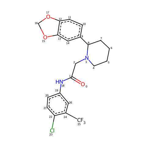 O=C(CN1CCCCC1c1ccc2c(c1)OCO2)Nc1ccc(Cl)c(C(F)(F)F)c1